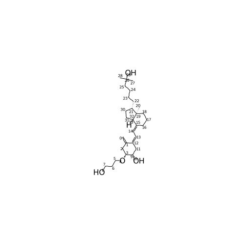 C=C1C[C@H](OCCCO)[C@H](O)C/C1=C/C=C1\CCC[C@]2(C)[C@@H](CCCCC(C)(C)O)CC[C@@H]12